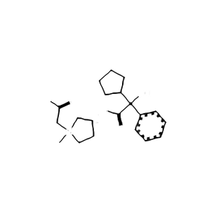 C[N+]1(CC(=O)O)CC[C@@H](OC(=O)C(O)(c2ccccc2)C2CCCC2)C1